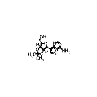 CC1(C)O[C@@H]2[C@H](O1)[C@@H](CO)O[C@H]2c1cnn2c(N)ncnc12